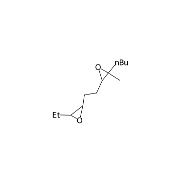 CCCCC1(C)OC1CCC1OC1CC